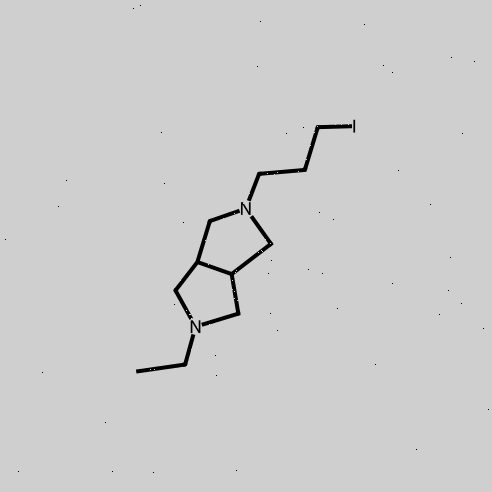 CCN1CC2CN(CCCI)CC2C1